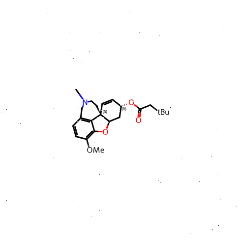 COc1ccc2c3c1OC1C[C@@H](OC(=O)CC(C)(C)C)C=C[C@@]31CCN(C)C2